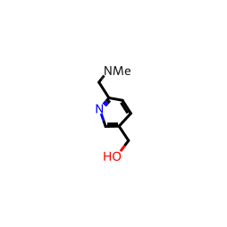 CNCc1ccc(CO)cn1